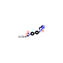 CC(=O)NC[C@H]1CN(c2ccc(-c3ccc(CN4CCc5cnnn5C4=O)cc3)c(F)c2)C(=O)O1